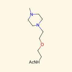 CC(=O)NCCOCCN1CCN(C)CC1